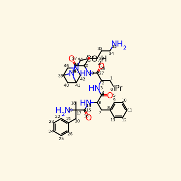 CC(C)CC(NC(=O)C(Cc1ccccc1)NC(=O)C(C)(N)Cc1ccccc1)C(=O)NC(CCCCN)C(=O)N1C2CC1CN(CC(=O)O)C2